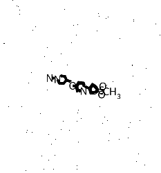 CS(=O)(=O)c1ccc(-c2ccc(OCC3CCN(C#N)CC3)cn2)cc1